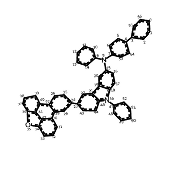 c1ccc(-c2ccc(N(c3ccccc3)c3ccc4c(c3)c3cc(-c5ccc6c(c5)c5cccc7oc8cccc6c8c75)ccc3n4-c3ccccc3)cc2)cc1